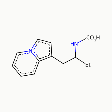 CCC(Cc1ccn2ccccc12)NC(=O)O